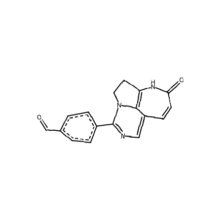 O=Cc1ccc(C2=NC=C3C=CC(=O)NC4=C3N2CC4)cc1